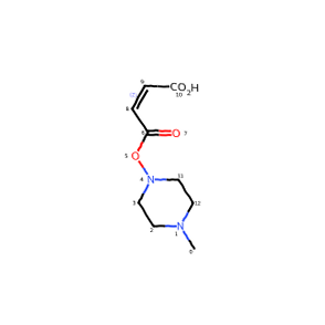 CN1CCN(OC(=O)/C=C\C(=O)O)CC1